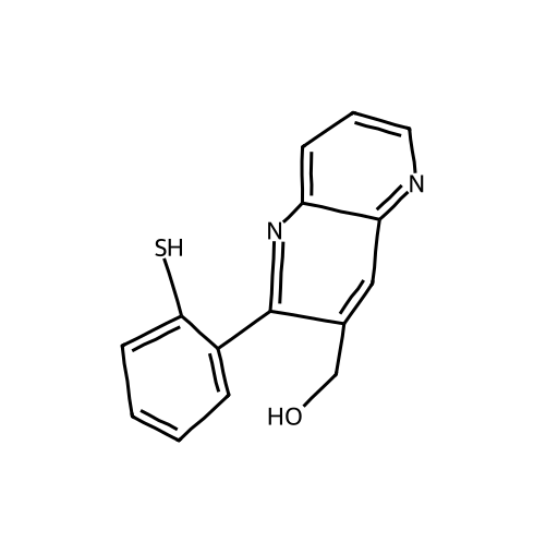 OCc1cc2ncccc2nc1-c1ccccc1S